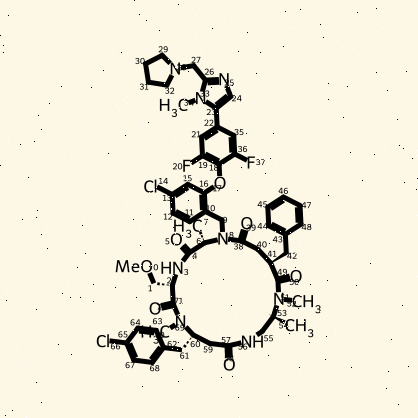 COC[C@@H]1NC(=O)[C@H](C)N(Cc2ccc(Cl)cc2Oc2c(F)cc(-c3cnc(CN4CCCC4)n3C)cc2F)C(=O)C[C@@H](Cc2ccccc2)C(=O)N(C)[C@@H](C)CNC(=O)C[C@H](Cc2ccc(Cl)cc2)N(C)C1=O